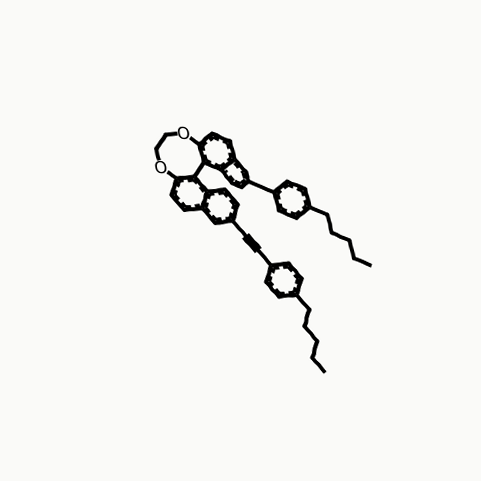 CCCCCc1ccc(C#Cc2ccc3c4c(ccc3c2)OCCOc2ccc3cc(-c5ccc(CCCCC)cc5)ccc3c2-4)cc1